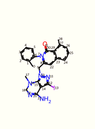 Cc1ccccc1-n1c(Cn2nc(I)c3c2N(C)CN=C3N)cc2cccc(C)c2c1=O